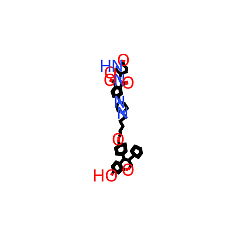 O=C1CCC(N2C(=O)c3ccc(N4CCN(CCCCCOc5ccc(C6c7ccc(O)cc7OCC6c6ccccc6)cc5)CC4)cc3C2=O)C(=O)N1